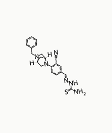 N#Cc1cc(C=NNC(N)=S)ccc1N1C[C@@H]2C[C@H]1CN2Cc1ccccc1